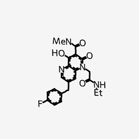 CCNC(=O)Cn1c(=O)c(C(=O)NC)c(O)c2ncc(Cc3ccc(F)cc3)cc21